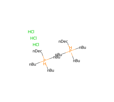 CCCCCCCCCC[PH](CCCC)(CCCC)CCCC.CCCCCCCCCC[PH](CCCC)(CCCC)CCCC.Cl.Cl.Cl